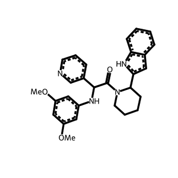 COc1cc(NC(C(=O)N2CCCCC2c2cc3ccccc3[nH]2)c2cccnc2)cc(OC)c1